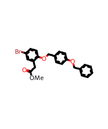 COC(=O)Cc1cc(Br)ccc1OCc1ccc(OCc2ccccc2)cc1